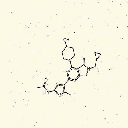 CC(=O)Nc1nc(C)c(-c2cc3c(c(N4CCC(O)CC4)n2)C(=O)N([C@@H](C)C2CC2)C3)s1